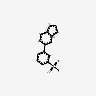 CS(=O)(=O)c1cccc(-c2ccc3sccc3c2)c1